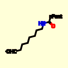 CCCCCC(=O)NCCCCCCC[C]=O